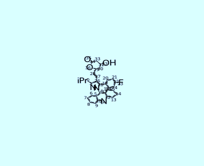 CC(C)c1nn(-c2c3ccccc3nc3ccccc23)c(-c2ccc(F)cc2)c1C=CC1CC(O)CC(=O)O1